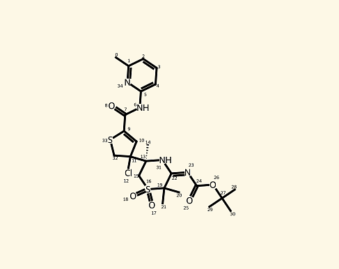 Cc1cccc(NC(=O)C2=CC(Cl)([C@]3(C)CS(=O)(=O)C(C)(C)/C(=N\C(=O)OC(C)(C)C)N3)CS2)n1